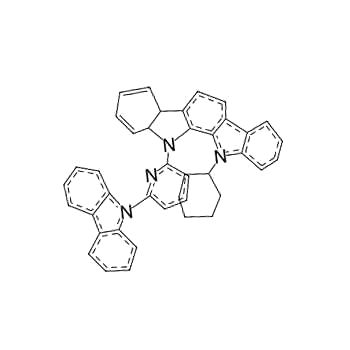 C1=CC2c3ccc4c5ccccc5n(C5CCCCC5)c4c3N(c3cccc(-n4c5ccccc5c5ccccc54)n3)C2C=C1